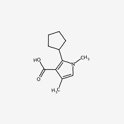 Cc1cn(C)c(C2CCCC2)c1C(=O)O